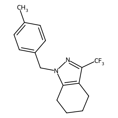 Cc1ccc(Cn2nc(C(F)(F)F)c3c2CCCC3)cc1